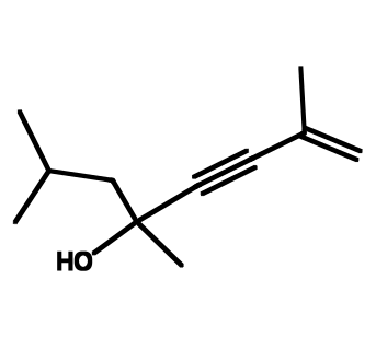 C=C(C)C#CC(C)(O)CC(C)C